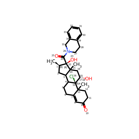 C[C@@H]1CC2C3CCC4=CC(=O)CCC4(C)[C@@]3(Cl)[C@@H](O)CC2(C)[C@@]1(O)C(=O)N1CCc2ccccc2C1